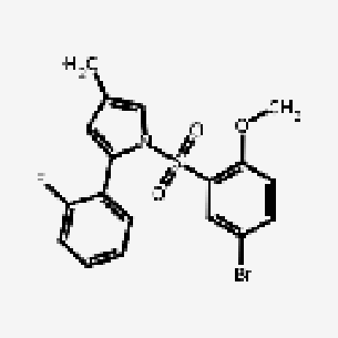 [CH2]c1cc(-c2ccccc2F)n(S(=O)(=O)c2cc(Br)ccc2OC)c1